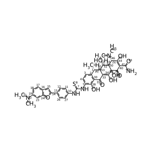 C[C@H]1c2ccc(NC(=S)Nc3ccc(-c4cc5ccc(N(C)C)cc5o4)cc3)c(O)c2C(=O)C2=C(O)[C@]3(O)C(=O)C(C(N)=O)=C(O)[C@@H](N(C)C)[C@@H]3[C@@H](O)[C@@H]21